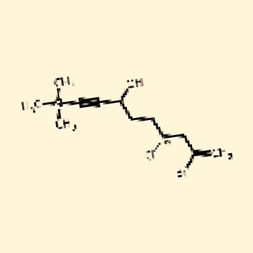 C=C(Br)C[C@H](Cl)CCC(O)C#C[Si](C)(C)C